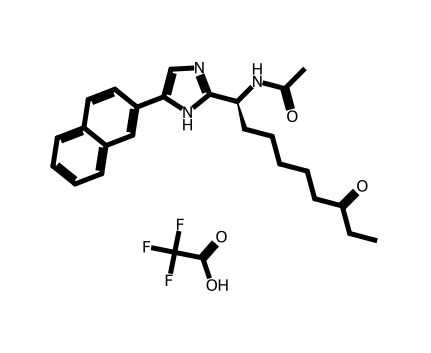 CCC(=O)CCCCC[C@H](NC(C)=O)c1ncc(-c2ccc3ccccc3c2)[nH]1.O=C(O)C(F)(F)F